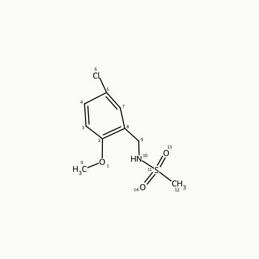 COc1ccc(Cl)cc1CNS(C)(=O)=O